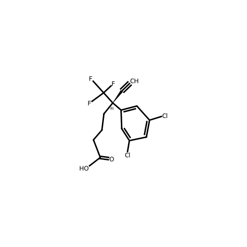 C#C[C@](CCCC(=O)O)(c1cc(Cl)cc(Cl)c1)C(F)(F)F